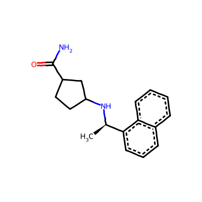 C[C@@H](NC1CCC(C(N)=O)C1)c1cccc2ccccc12